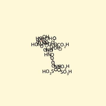 CC1OC(OC2C(NC(=O)c3cc(O)nc(O)n3)CC(C(=O)NCCNC(=O)COCCOCC(=O)Nc3cc(S(=O)(=O)O)cc4cc(S(=O)(=O)O)cc(S(=O)(=O)O)c34)CC2OC2OC(CO)C(O)C(O[C@@H](CC3CCCCC3)C(=O)O)C2OCc2ccccc2)C(O)C(O)C1O